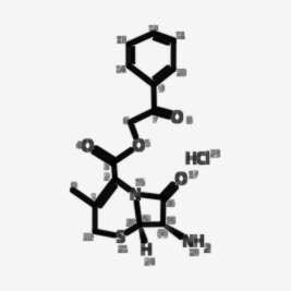 CC1=C(C(=O)OCC(=O)c2ccccc2)N2C(=O)[C@@H](N)[C@@H]2SC1.Cl